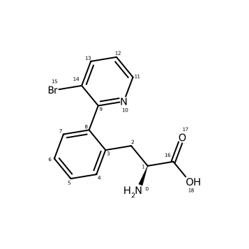 N[C@@H](Cc1ccccc1-c1ncccc1Br)C(=O)O